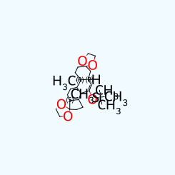 C[C@]12CCC3C(C(O[Si](C)(C)C)=C[C@H]4CC5(CC[C@]34C)OCCO5)C1CCC21OCCO1